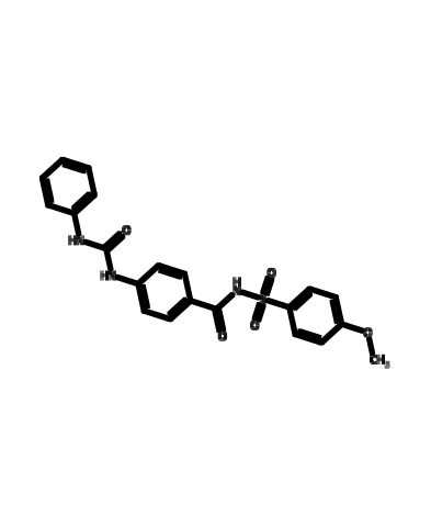 COc1ccc(S(=O)(=O)NC(=O)c2ccc(NC(=O)Nc3ccccc3)cc2)cc1